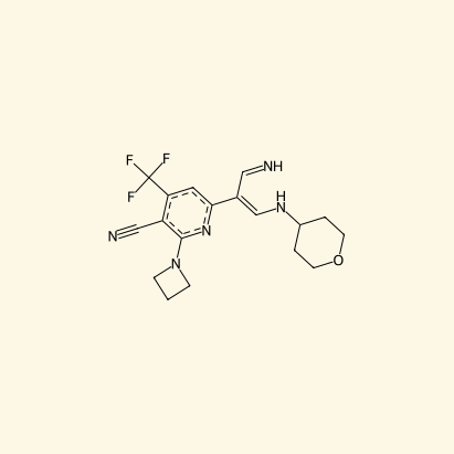 N#Cc1c(C(F)(F)F)cc(/C(C=N)=C/NC2CCOCC2)nc1N1CCC1